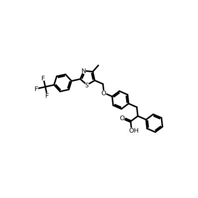 Cc1nc(-c2ccc(C(F)(F)F)cc2)sc1COc1ccc(CC(C(=O)O)c2ccccc2)cc1